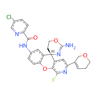 NC1=N[C@@]2(CCO1)c1cc(NC(=O)c3ccc(Cl)cn3)ccc1Oc1c2cc(C2=CCCOC2)nc1F